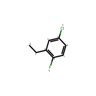 [CH2]Cc1cc(Cl)ccc1F